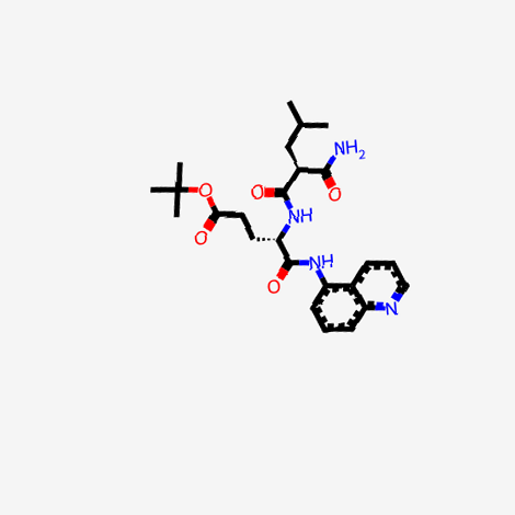 CC(C)C[C@@H](C(N)=O)C(=O)N[C@@H](CCC(=O)OC(C)(C)C)C(=O)Nc1cccc2ncccc12